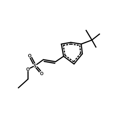 CCOS(=O)(=O)C=Cc1ccc(C(C)(C)C)cc1